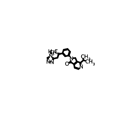 CC(C)c1nccc2c1CN(c1cccc([C@H](C)Cc3nncn3C)c1)C2=O